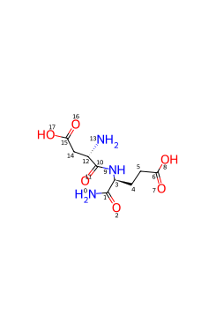 NC(=O)[C@H](CCC(=O)O)NC(=O)[C@@H](N)CC(=O)O